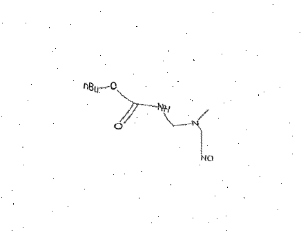 CCCCOC(=O)NCN(C)N=O